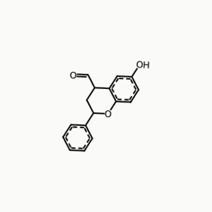 O=CC1CC(c2ccccc2)Oc2ccc(O)cc21